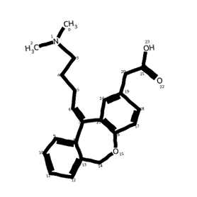 CN(C)CCCC=C1c2ccccc2COc2ccc(CC(=O)O)cc21